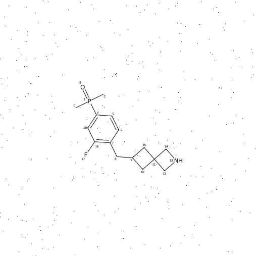 CP(C)(=O)c1ccc(CC2CC3(CNC3)C2)c(F)c1